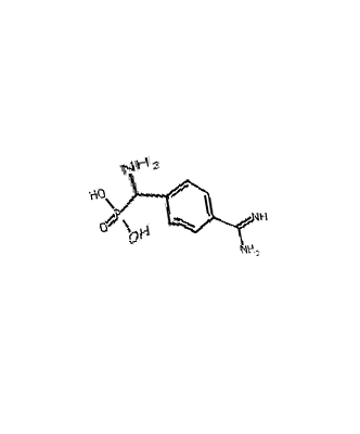 N=C(N)c1ccc(C(N)P(=O)(O)O)cc1